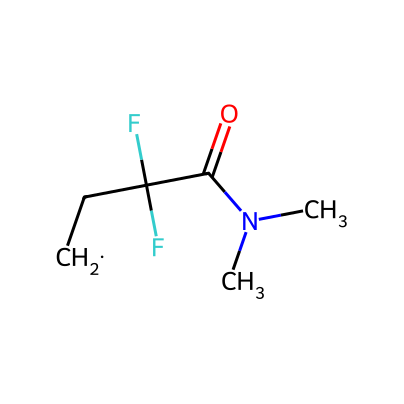 [CH2]CC(F)(F)C(=O)N(C)C